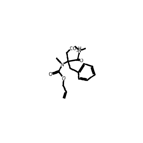 C=CCOC(=O)N(C)C(CC(=O)O)(Cc1ccccc1)C(=O)N(C)C